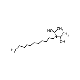 CCCCCCCCCCCN(C(C)O)C(C)O